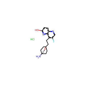 Cl.NC12CCC(CCc3c(F)cnc4ccc(O)nc34)(CC1)OC2